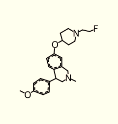 COc1ccc(C2CN(C)Cc3cc(OC4CCN(CCF)CC4)ccc32)cc1